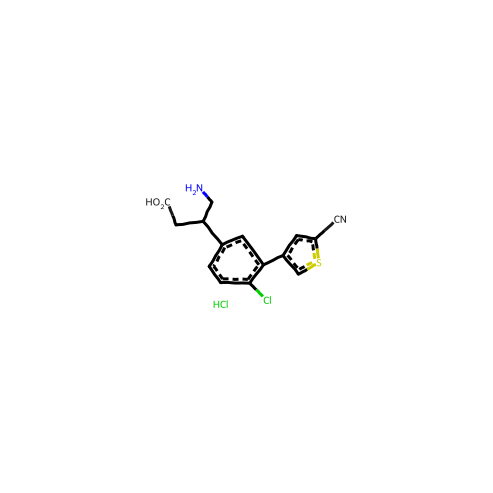 Cl.N#Cc1cc(-c2cc(C(CN)CC(=O)O)ccc2Cl)cs1